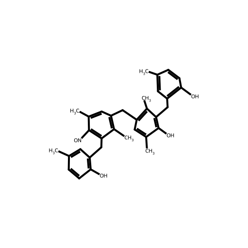 Cc1ccc(O)c(Cc2c(C)c(Cc3cc(C)c(N=O)c(Cc4cc(C)ccc4O)c3C)cc(C)c2O)c1